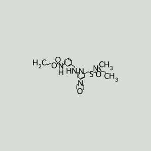 C=CCOC(=O)Nc1cccc(CNc2cc(N3CCOCC3)cc(CSc3nc(C)c(CC)o3)n2)c1